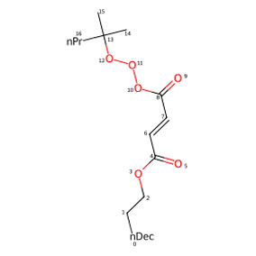 CCCCCCCCCCCCOC(=O)C=CC(=O)OOOC(C)(C)CCC